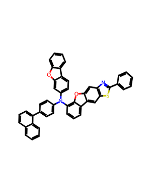 c1ccc(-c2nc3cc4oc5c(N(c6ccc(-c7cccc8ccccc78)cc6)c6ccc7c(c6)oc6ccccc67)cccc5c4cc3s2)cc1